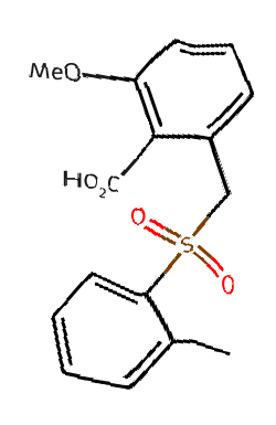 COc1cccc(CS(=O)(=O)c2ccccc2C)c1C(=O)O